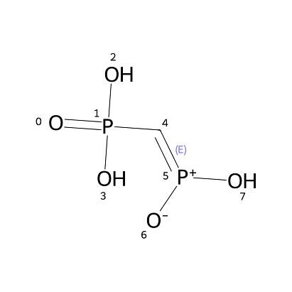 O=P(O)(O)/C=[P+](\[O-])O